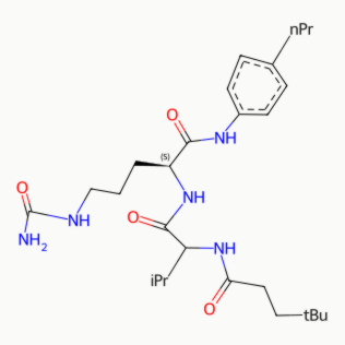 CCCc1ccc(NC(=O)[C@H](CCCNC(N)=O)NC(=O)C(NC(=O)CCC(C)(C)C)C(C)C)cc1